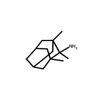 CC12CC3CC(C1)CC(C)(C3)C2(C)N